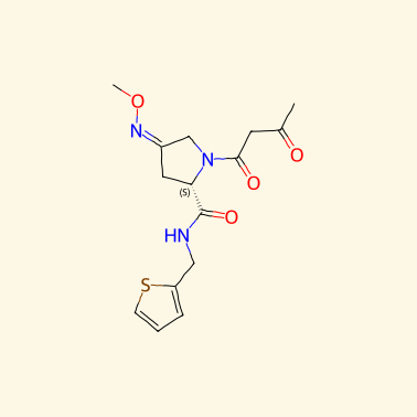 CON=C1C[C@@H](C(=O)NCc2cccs2)N(C(=O)CC(C)=O)C1